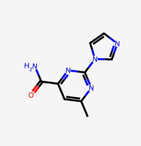 Cc1cc(C(N)=O)nc(-n2ccnc2)n1